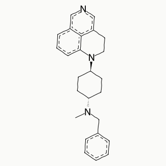 CN(Cc1ccccc1)[C@H]1CC[C@H](N2CCc3cncc4cccc2c34)CC1